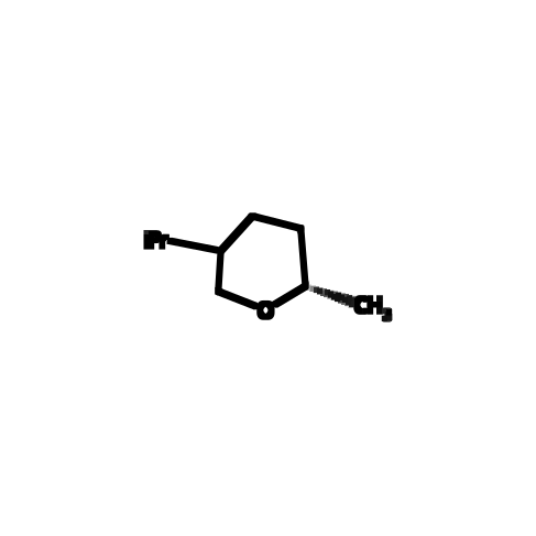 CC(C)C1CC[C@H](C)OC1